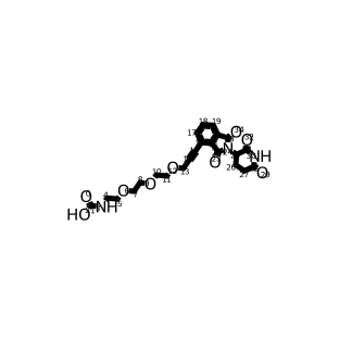 O=C(O)NCCOCCOCCOCC#Cc1cccc2c1C(=O)N(C1CCC(=O)NC1=O)C2=O